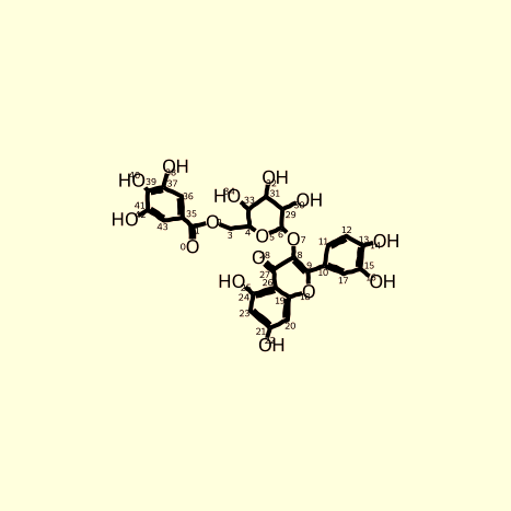 O=C(OCC1OC(Oc2c(-c3ccc(O)c(O)c3)oc3cc(O)cc(O)c3c2=O)C(O)C(O)C1O)c1cc(O)c(O)c(O)c1